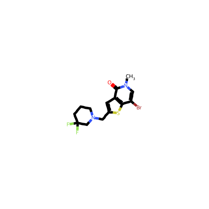 Cn1cc(Br)c2sc(CN3CCCC(F)(F)C3)cc2c1=O